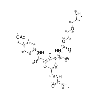 CC(=O)OCc1ccc(NC(=O)[C@@H](CCCNC(N)=O)NC(=O)[C@H](NC(=O)OCCOCCN)C(C)C)cc1